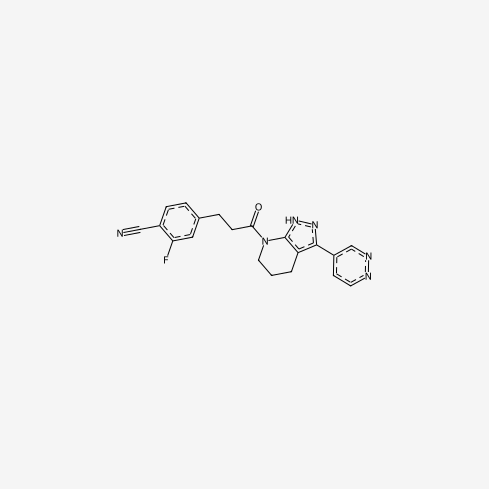 N#Cc1ccc(CCC(=O)N2CCCc3c(-c4ccnnc4)n[nH]c32)cc1F